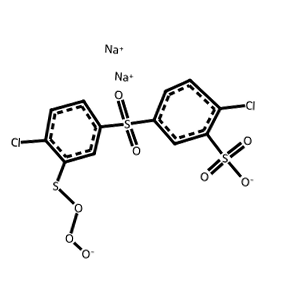 O=S(=O)([O-])c1cc(S(=O)(=O)c2ccc(Cl)c(SOO[O-])c2)ccc1Cl.[Na+].[Na+]